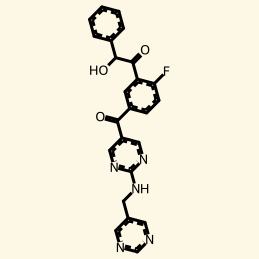 O=C(c1cnc(NCc2cncnc2)nc1)c1ccc(F)c(C(=O)C(O)c2ccccc2)c1